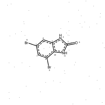 O=c1[nH]c2cc(Br)cc(Br)c2[nH]1